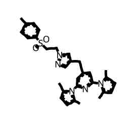 Cc1ccc(S(=O)(=O)CCn2cc(Cc3cc(-n4c(C)ccc4C)nc(-n4c(C)ccc4C)c3)cn2)cc1